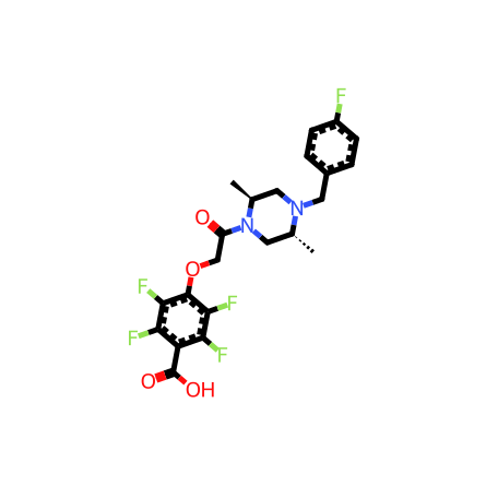 C[C@@H]1CN(C(=O)COc2c(F)c(F)c(C(=O)O)c(F)c2F)[C@@H](C)CN1Cc1ccc(F)cc1